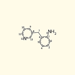 Nc1c[c]ccc1Cc1cccnc1